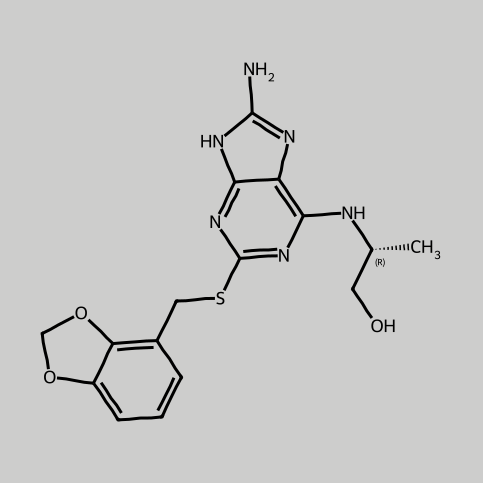 C[C@H](CO)Nc1nc(SCc2cccc3c2OCO3)nc2[nH]c(N)nc12